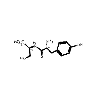 N[C@H](Cc1ccc(O)cc1)C(=O)N[C@@H](CS)C(=O)O